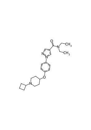 CCN(CC)C(=O)c1cnn(-c2ccc(OC3CCN(C4CCC4)CC3)cc2)c1